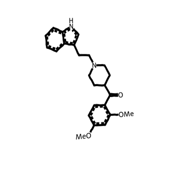 COc1ccc(C(=O)C2CCN(CCc3c[nH]c4ccccc34)CC2)c(OC)c1